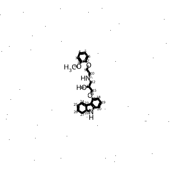 COc1ccccc1OCCNCC(O)COc1cccc2c1C1=CC=CCC1N2